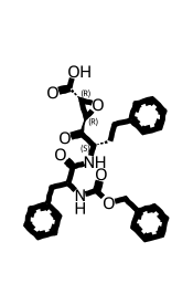 O=C(NC(Cc1ccccc1)C(=O)N[C@@H](CCc1ccccc1)C(=O)[C@@H]1O[C@H]1C(=O)O)OCc1ccccc1